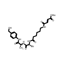 COC(=O)/C=C/C(=O)NCCCCCC(=O)N[C@H](C(=O)N[C@@H](C)C(=O)Nc1ccc(CO)cc1)C(C)C